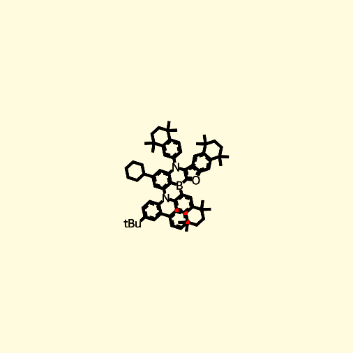 CC(C)(C)c1ccc(N2c3cc4c(cc3B3c5oc6cc7c(cc6c5N(c5ccc6c(c5)C(C)(C)CCC6(C)C)c5cc(C6CCCCC6)cc2c53)C(C)(C)CCC7(C)C)C(C)(C)CCC4(C)C)c(-c2ccccc2)c1